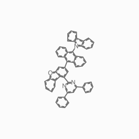 c1ccc(-c2cc(-c3ccccc3)nc(-c3cc(-c4c5ccccc5c(-n5c6ccccc6c6ccccc65)c5ccccc45)cc4oc5ccccc5c34)n2)cc1